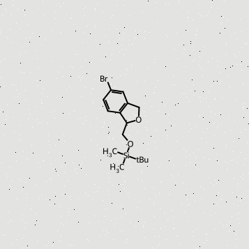 CC(C)(C)[Si](C)(C)OCC1OCc2cc(Br)ccc21